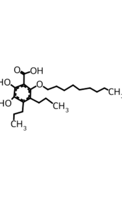 CCCCCCCCCOc1c(CCC)c(CCC)c(O)c(O)c1C(=O)O